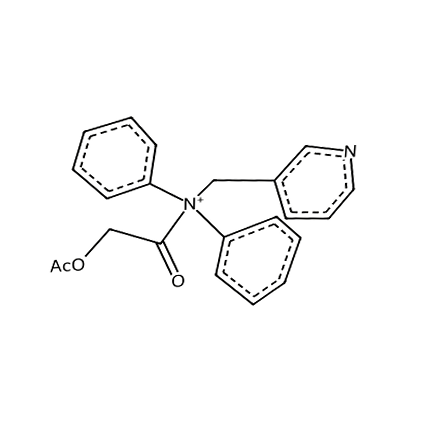 CC(=O)OCC(=O)[N+](Cc1cccnc1)(c1ccccc1)c1ccccc1